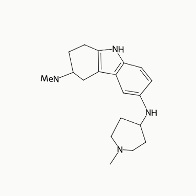 CNC1CCc2[nH]c3ccc(NC4CCN(C)CC4)cc3c2C1